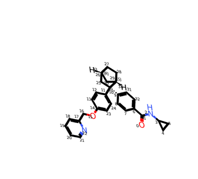 O=C(NC1CC1)c1ccc([C@]2(c3ccc(OCc4ccccn4)cc3)C[C@@H]3CC[C@H]2C3)cc1